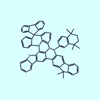 CC1(C)CCC(C)(C)c2cc(N3B4c5cccc6c5N(c5ccccc5C65c6ccccc6-c6ccccc65)c5c4c(cc4c5sc5ccccc54)-c4cc5c(cc43)-c3ccccc3C5(C)C)ccc21